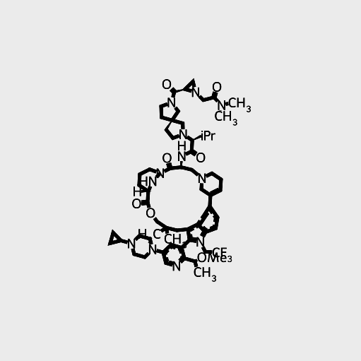 CO[C@@H](C)c1ncc(N2CCN(C3CC3)CC2)cc1-c1c2c3cc(ccc3n1CC(F)(F)F)C1=CCCN(C1)C[C@H](NC(=O)[C@H](C(C)C)N1CC[C@]3(CCN(C(=O)[C@H]4CN4CC(=O)N(C)C)C3)C1)C(=O)N1CCC[C@H](N1)C(=O)OCC(C)(C)C2